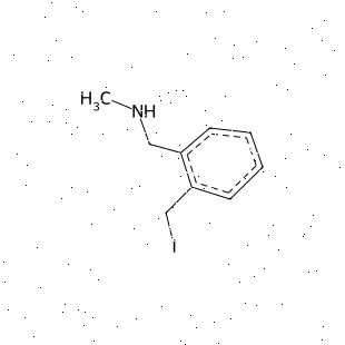 CNCc1ccccc1CI